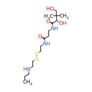 CCCNCCSSCCNC(=O)CCNC(=O)[C@H](O)C(C)(C)CO